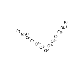 [Co].[Co].[Cr].[Cr].[Nb+5].[Nb+5].[O-2].[O-2].[O-2].[O-2].[O-2].[Pt].[Pt]